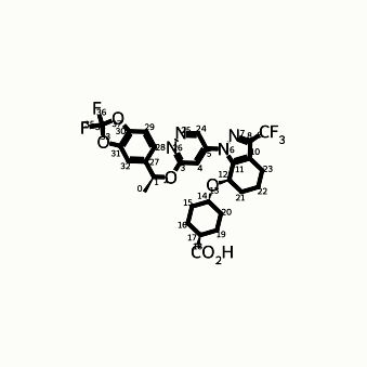 C[C@H](Oc1cc(-n2nc(C(F)(F)F)c3c2[C@H](O[C@H]2CC[C@H](C(=O)O)CC2)CCC3)cnn1)c1ccc2c(c1)OC(F)(F)O2